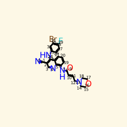 N#Cc1cnc2c(NC(=O)C=CCN3CCOCC3)cccc2c1Nc1ccc(F)c(Br)c1